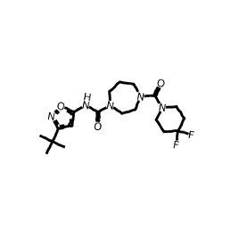 CC(C)(C)c1cc(NC(=O)N2CCCN(C(=O)N3CCC(F)(F)CC3)CC2)on1